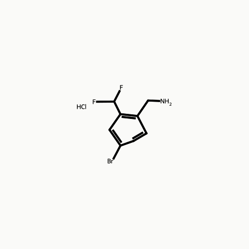 Cl.NCc1ccc(Br)cc1C(F)F